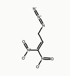 [N-]=[N+]=NCC=C([N+](=O)[O-])[N+](=O)[O-]